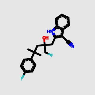 CC(C)(CC(O)(CF)Cc1[nH]c2ccccc2c1C#N)c1ccc(F)cc1